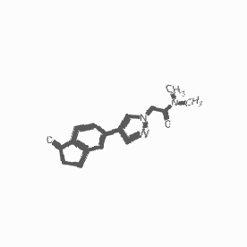 CN(C)C(=O)Cn1cc(-c2ccc3c(c2)CCC3=O)cn1